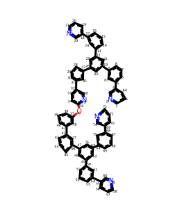 c1cncc(-c2cccc(-c3cc(-c4cccc(-c5cccnc5)c4)cc(-c4cccc(-c5ccc(Oc6cccc(-c7cccc(-c8cc(-c9cccc(-c%10cccnc%10)c9)cc(-c9cccc(-c%10cccnc%10)c9)c8)c7)c6)nc5)c4)c3)c2)c1